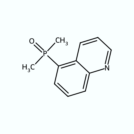 CP(C)(=O)c1cccc2ncccc12